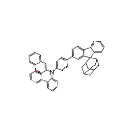 c1ccc(-c2ccccc2N(c2ccc(-c3ccc4c(c3)C3(c5ccccc5-4)C4CC5CC(C4)CC3C5)cc2)c2ccc3ccccc3c2)cc1